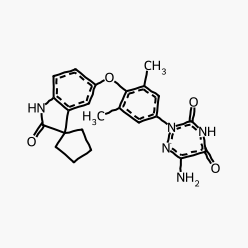 Cc1cc(-n2nc(N)c(=O)[nH]c2=O)cc(C)c1Oc1ccc2c(c1)C1(CCCC1)C(=O)N2